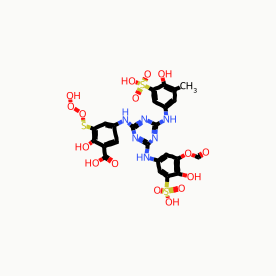 Cc1cc(Nc2nc(Nc3cc(SOOO)c(O)c(C(=O)O)c3)nc(Nc3cc(OC=O)c(O)c(S(=O)(=O)O)c3)n2)cc(S(=O)(=O)O)c1O